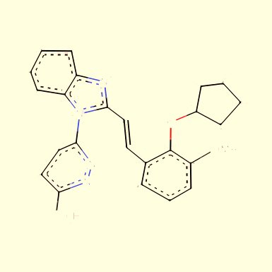 COc1cccc(C=Cc2nc3ccccc3n2-c2ccc(C(=O)O)nn2)c1OC1CCCC1